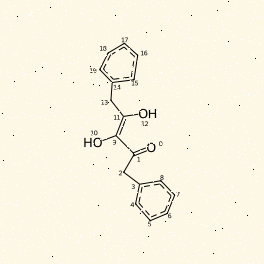 O=C(Cc1ccccc1)C(O)=C(O)Cc1ccccc1